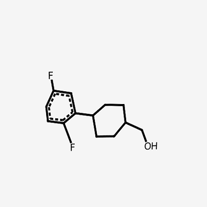 OCC1CCC(c2cc(F)ccc2F)CC1